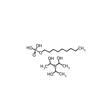 CC(O)N(C(C)O)C(C)O.CCCCCCCCCOP(=O)(O)O